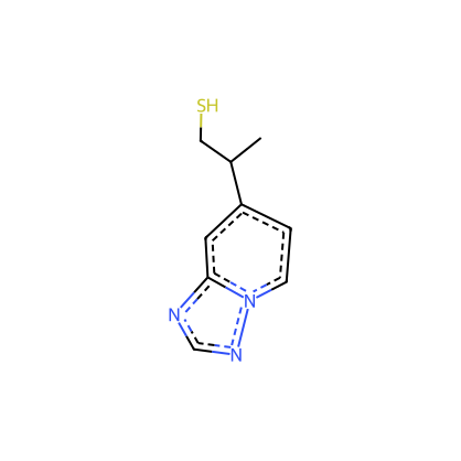 CC(CS)c1ccn2ncnc2c1